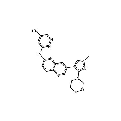 CC(C)c1cnnc(Nc2ccc3ncc(-c4cn(C)nc4N4CCCOC4)cc3n2)c1